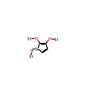 CCOC1=C(OCC)[SiH](OCC)C=C1